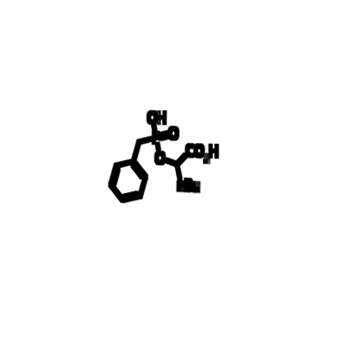 CCCCC(OP(=O)(O)Cc1ccccc1)C(=O)O